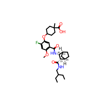 CCC(CC)CNC(=O)[C@H]1[C@@H]2CC[C@@H](C2)[C@H]1NC(=O)c1cc(OC2CCC(C)(C(=O)O)CC2)c(F)cc1OC